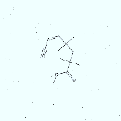 C#C/C=C\C(C)(C)CC(C)(C)C(=O)OC